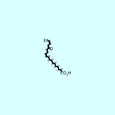 CC/C=C\CC(=O)CC/C=C\CCCCCCCCCC(=O)O